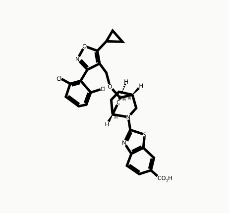 O=C(O)c1ccc2nc(N3C[C@H]4CC[C@@H]3C[C@H]4OCc3c(-c4c(Cl)cccc4Cl)noc3C3CC3)sc2c1